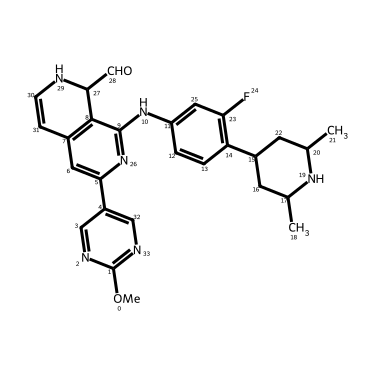 COc1ncc(-c2cc3c(c(Nc4ccc(C5CC(C)NC(C)C5)c(F)c4)n2)C(C=O)NC=C3)cn1